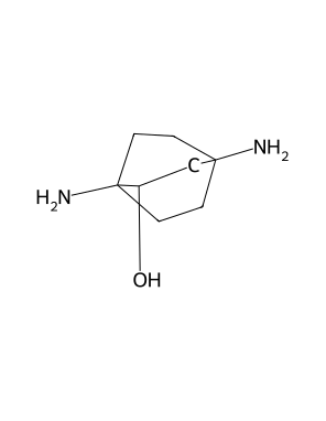 NC12CCC(N)(CC1)C(O)C2